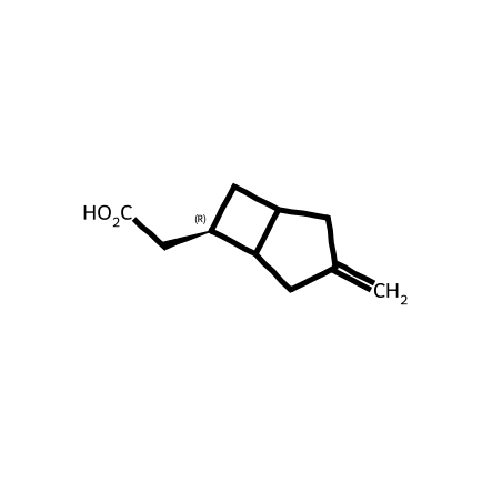 C=C1CC2C[C@H](CC(=O)O)C2C1